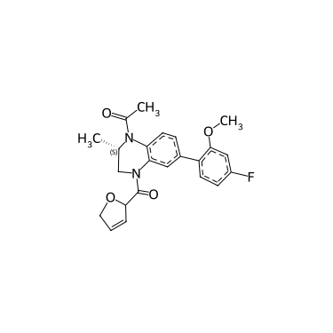 COc1cc(F)ccc1-c1ccc2c(c1)N(C(=O)C1C=CCO1)C[C@H](C)N2C(C)=O